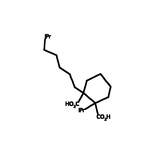 CC(C)CCCCCC1(C(=O)O)CCCCC1(C(=O)O)C(C)C